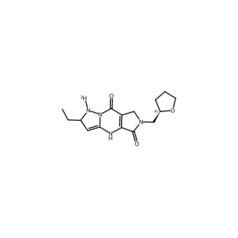 [2H]N1C(CC)C=C2NC3=C(CN(C[C@H]4CCCO4)C3=O)C(=O)N21